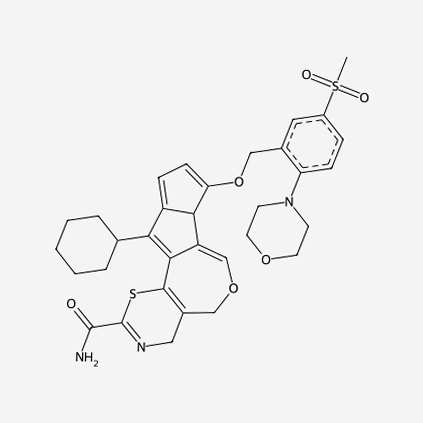 CS(=O)(=O)c1ccc(N2CCOCC2)c(COC2=CC=C3C(C4CCCCC4)=C4C(=COCC5=C4SC(C(N)=O)=NC5)C23)c1